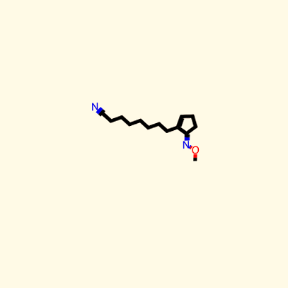 CON=C1CCC=C1CCCCCCCC#N